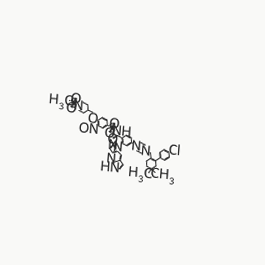 CC1(C)CCC(CN2CCN(c3ccc(C(=O)NS(=O)(=O)c4ccc(OCC5CCN(S(C)(=O)=O)CC5)c(N=O)c4)c(-n4ncc5nc6[nH]ccc6cc54)c3)CC2)=C(c2ccc(Cl)cc2)C1